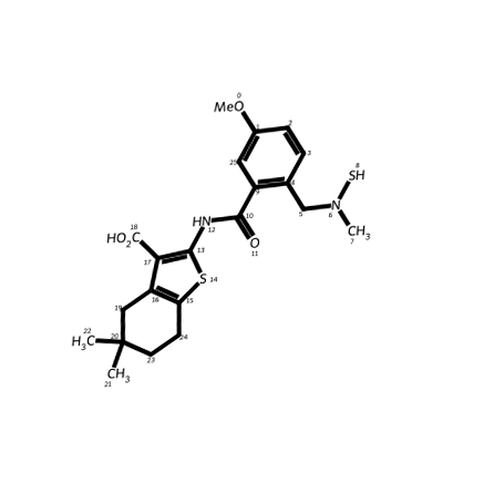 COc1ccc(CN(C)S)c(C(=O)Nc2sc3c(c2C(=O)O)CC(C)(C)CC3)c1